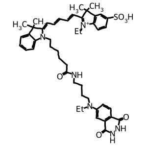 CCN(CCCCNC(=O)CCCCCN1\C(=C/C=C/C=C/C2=[N+](CC)c3ccc(S(=O)(=O)O)cc3C2(C)C)C(C)(C)c2ccccc21)c1ccc2c(=O)[nH][nH]c(=O)c2c1